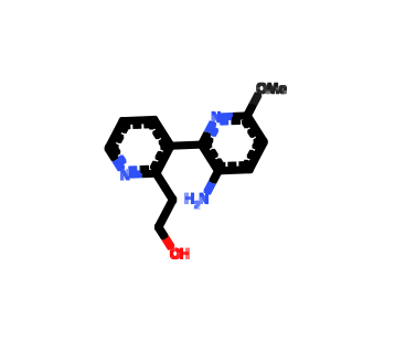 COc1ccc(N)c(-c2cccnc2CCO)n1